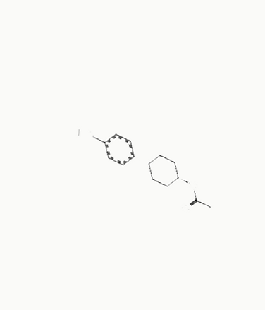 CC(=O)O[C@H]1CC[C@H](c2ccc(O)cc2)CC1